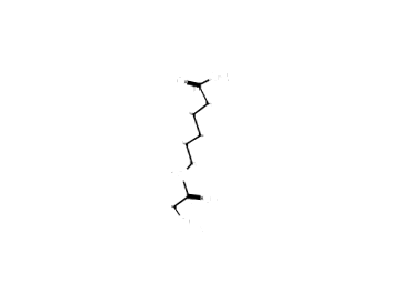 CCC(=O)OCCCCCC(=O)O